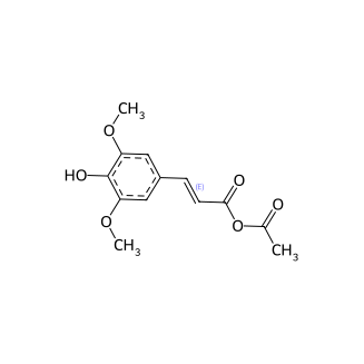 COc1cc(/C=C/C(=O)OC(C)=O)cc(OC)c1O